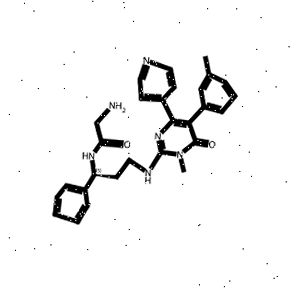 Cc1cccc(-c2c(-c3ccncc3)nc(NCC[C@H](NC(=O)CN)c3ccccc3)n(C)c2=O)c1